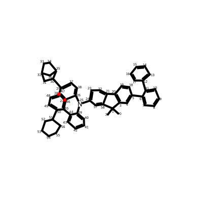 CC1(C)c2cc(-c3ccccc3-c3ccccc3)ccc2-c2ccc(N(c3ccc(C4CC5CCC4C5)cc3)c3ccccc3-c3ccccc3C3CCCCC3)cc21